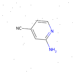 N#Cc1[c]cnc(N)c1